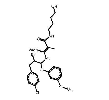 CCC(Cc1ccc(Cl)cc1)C(N/C(NC)=C(\C)C(=O)NCCCCO)Oc1cccc(OC(F)(F)F)c1